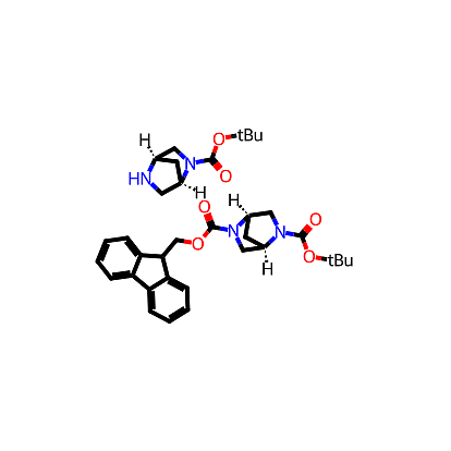 CC(C)(C)OC(=O)N1C[C@H]2C[C@@H]1CN2.CC(C)(C)OC(=O)N1C[C@H]2C[C@@H]1CN2C(=O)OCC1c2ccccc2-c2ccccc21